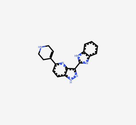 C1=C(c2ccc3[nH]nc(-c4nc5ccccc5[nH]4)c3n2)CCNC1